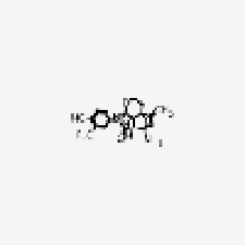 C=C1C[C@@]2(C)O[C@@]13CCO[C@H]1[C@@H]3[C@@H]2C(=O)N1c1ccc(C#N)c(C(F)(F)F)c1